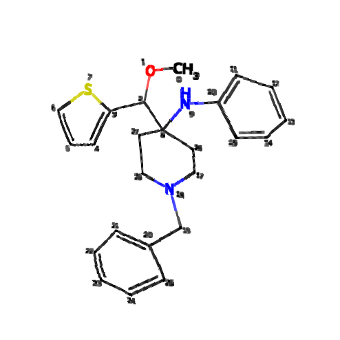 COC(c1cccs1)C1(Nc2ccccc2)CCN(Cc2ccccc2)CC1